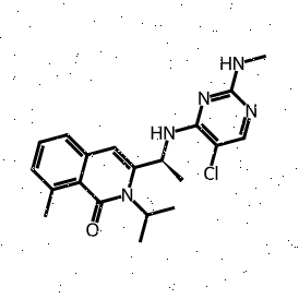 CNc1ncc(Cl)c(N[C@@H](C)c2cc3cccc(C)c3c(=O)n2C(C)C)n1